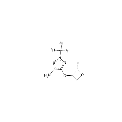 [2H]C([2H])([2H])n1cc(N)c(O[C@@H]2CO[C@H]2C)n1